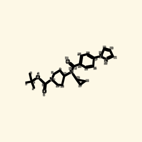 CC(C)(C)OC(=O)N1CCC(N(C(=O)c2ccc(-n3cccn3)cc2)C2CC2)CC1